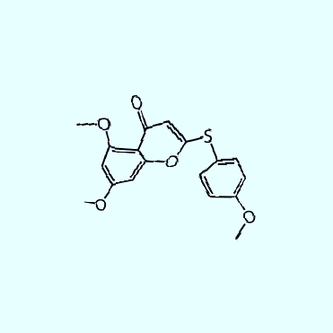 COc1ccc(Sc2cc(=O)c3c(OC)cc(OC)cc3o2)cc1